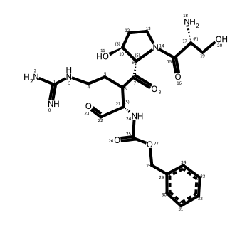 N=C(N)NCCC(C(=O)[C@@H]1[C@@H](O)CCN1C(=O)[C@H](N)CO)[C@@H](C=O)NC(=O)OCc1ccccc1